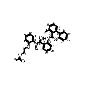 CC(=O)OCCOc1ccccc1N(C)C(=O)c1ccccc1NC(=O)c1c(C)cccc1-c1ccccc1